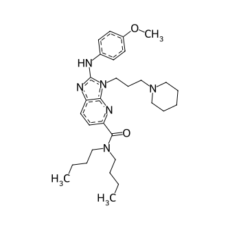 CCCCN(CCCC)C(=O)c1ccc2nc(Nc3ccc(OC)cc3)n(CCCN3CCCCC3)c2n1